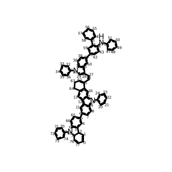 C1=CC2c3cc(-c4ccc5c(c4)c4cc6c(cc4n5-c4ccccc4)C(/C=C\c4cn(-c5ccccc5)c5ccc(-c7ccc(Nc8ccccc8)c(-c8ccccc8)c7)cc45)=CCC6)ccc3N(c3ccccc3)C2C=C1